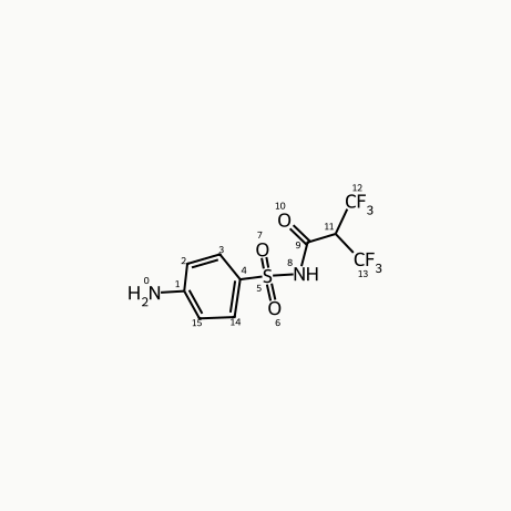 Nc1ccc(S(=O)(=O)NC(=O)C(C(F)(F)F)C(F)(F)F)cc1